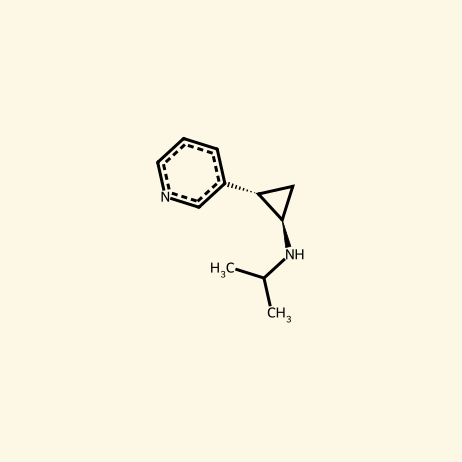 CC(C)N[C@@H]1C[C@H]1c1cccnc1